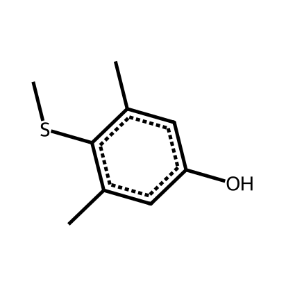 CSc1c(C)cc(O)cc1C